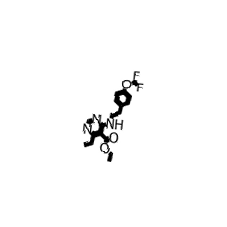 CCOC(=O)c1c(CC)ncnc1NCCc1ccc(OC(F)F)cc1